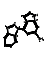 Cc1cc(-n2nnc3ccccc32)c2nc[nH]c2c1